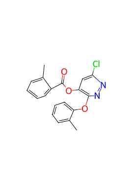 Cc1ccccc1Oc1nnc(Cl)cc1OC(=O)c1ccccc1C